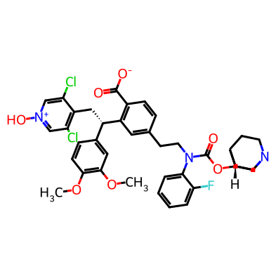 COc1ccc([C@H](Cc2c(Cl)c[n+](O)cc2Cl)c2cc(CCN(C(=O)O[C@H]3CN4CCC3CC4)c3ccccc3F)ccc2C(=O)[O-])cc1OC